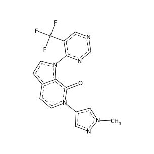 Cn1cc(-n2ccc3ccn(-c4ncncc4C(F)(F)F)c3c2=O)cn1